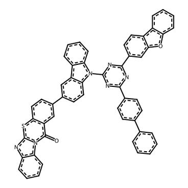 O=c1c2cc(-c3ccc4c(c3)c3ccccc3n4-c3nc(-c4ccc(-c5ccccc5)cc4)nc(-c4ccc5c(c4)oc4ccccc45)n3)ccc2sc2nc3ccccc3n12